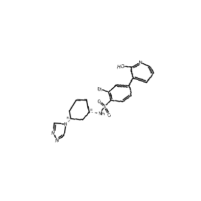 CCc1cc(-c2cccnc2O)ccc1S(=O)(=O)N[C@H]1CCC[C@@H](n2cnnc2)C1